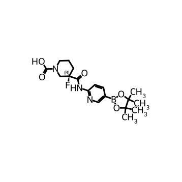 CC1(C)OB(c2ccc(NC(=O)[C@@]3(F)CCCN(C(=O)O)C3)nc2)OC1(C)C